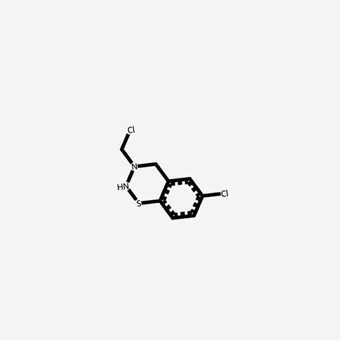 ClCN1Cc2cc(Cl)ccc2SN1